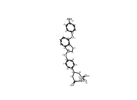 Nc1ccc(Oc2cccc3c2CC[C@H]3Oc2ccc(C3CC(=O)NS(=O)(=O)C3)cc2)cc1